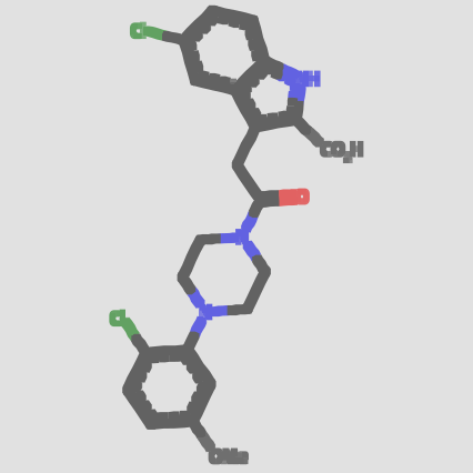 COc1ccc(Cl)c(N2CCN(C(=O)Cc3c(C(=O)O)[nH]c4ccc(Cl)cc34)CC2)c1